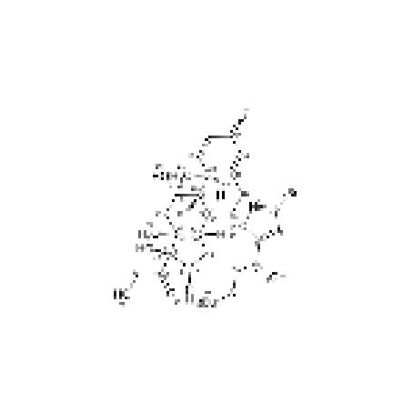 CC(C)(C)NCC(O)c1cc(Br)no1.C[C@@H]1C[C@H]2[C@@H]3CCC4=CC(=O)C=C[C@]4(C)[C@@]3(F)[C@@H](O)C[C@]2(C)[C@@]1(O)C(=O)CO